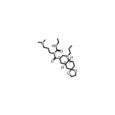 CCCN1C[C@H](C(=O)N(CCCN(C)C)C(=O)NCC)C[C@@H]2CC3(CC[C@H]21)OCCO3